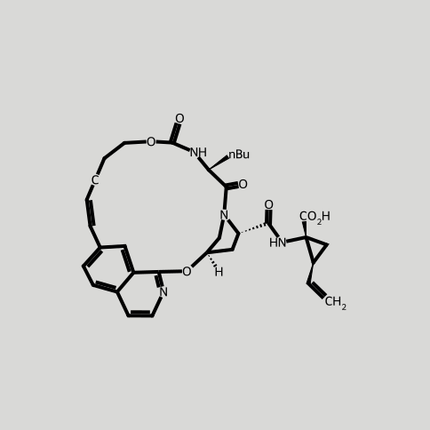 C=C[C@@H]1C[C@]1(NC(=O)[C@@H]1C[C@@H]2CN1C(=O)[C@H](CCCC)NC(=O)OCCC/C=C\c1ccc3ccnc(c3c1)O2)C(=O)O